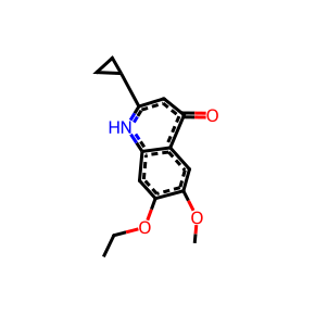 CCOc1cc2[nH]c(C3CC3)cc(=O)c2cc1OC